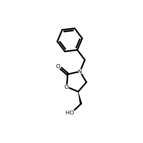 O=C1O[C@H](CO)CN1Cc1ccccc1